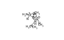 COCCN(C(=O)NCCCN(C)C)C(=O)[C@@H]1C[C@@H]2Cc3c(sc(N)c3C#N)C[C@H]2N(C)C1